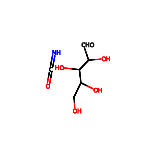 N=C=O.O=CC(O)C(O)C(O)CO